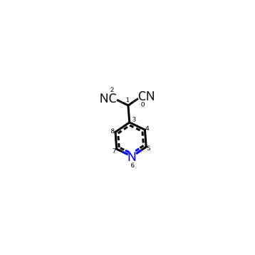 N#CC(C#N)c1ccncc1